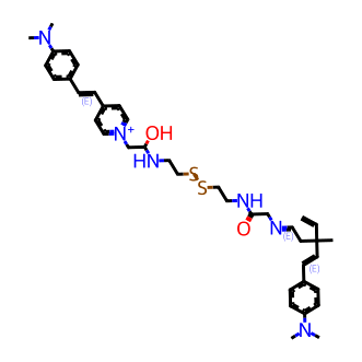 C=CC(C)(/C=C/c1ccc(N(C)C)cc1)C/C=N/CC(=O)NCCSSCCNC(O)C[n+]1ccc(/C=C/c2ccc(N(C)C)cc2)cc1